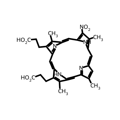 CC1=Cc2cc3[nH]c(cc4nc(cc5[nH]c(cc1n2)c(C)c5CCC(=O)O)C(CCC(=O)O)=C4C)c([N+](=O)[O-])c3C